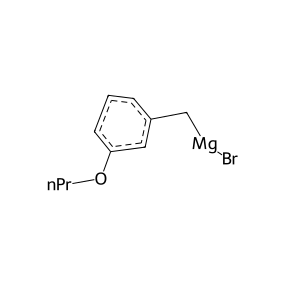 CCCOc1cccc([CH2][Mg][Br])c1